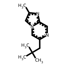 Cc1cn2cc(CC(C)(C)C)ncc2n1